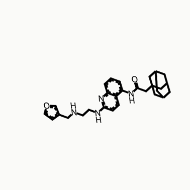 O=C(CC12CC3CC(CC(C3)C1)C2)Nc1cccc2nc(NCCNCc3ccoc3)ccc12